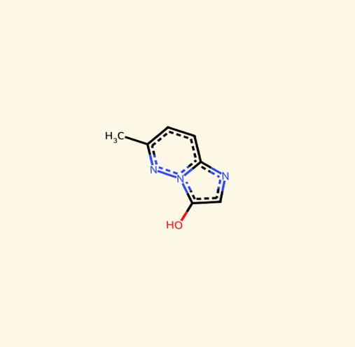 Cc1ccc2ncc(O)n2n1